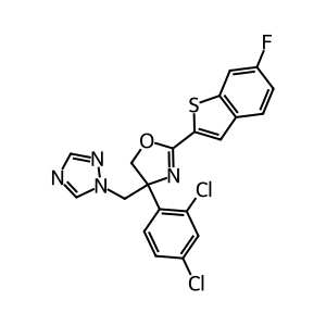 Fc1ccc2cc(C3=NC(Cn4cncn4)(c4ccc(Cl)cc4Cl)CO3)sc2c1